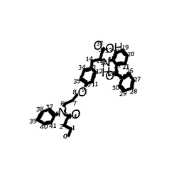 CCCC(=O)N(CCCOc1ccc(CC(Nc2ccccc2C(=O)c2ccccc2)C(=O)O)cc1)c1ccccc1